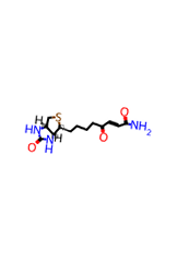 NC(=O)C=CC(=O)CCCC[C@@H]1SC[C@@H]2NC(=O)N[C@@H]21